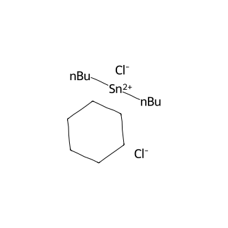 C1CCCCC1.CCC[CH2][Sn+2][CH2]CCC.[Cl-].[Cl-]